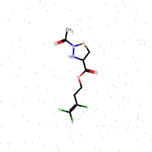 CC(=O)N1NC(C(=O)OCCC(F)=C(F)F)CS1